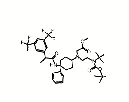 COC(=O)CN(CCN(C(=O)OC(C)(C)C)C(C)(C)C)C1CCC(NC(=O)C(C)c2cc(C(F)(F)F)cc(C(F)(F)F)c2)(c2ccccc2)CC1